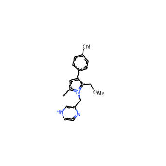 COCc1c(-c2ccc(C#N)cc2)cc(C)n1CC1=CNC=C=N1